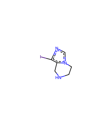 Ic1ncn2c1CNCC2